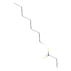 CCCCCCCSC(=S)CC